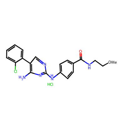 COCCNC(=O)c1ccc(Nc2ncc(-c3ccccc3Cl)c(N)n2)cc1.Cl